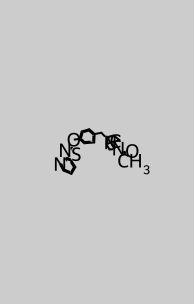 CC(=O)N1CC2CCC1CN2Cc1ccc(Oc2nc3ncccc3s2)cc1